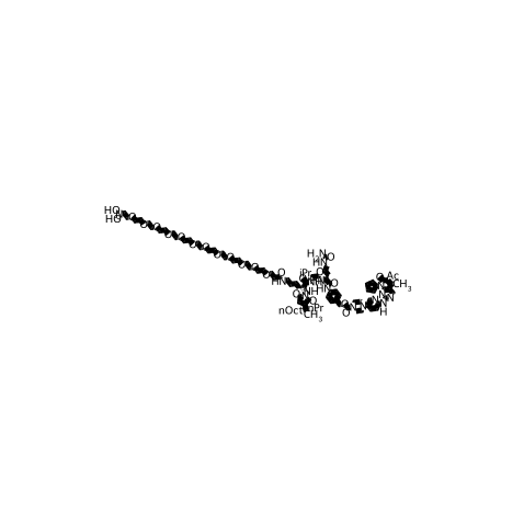 CCCCCCCCC(C)(CCC)C1CC(=O)N(N[C@@H](CCCCNC(=O)CCOCCOCCOCCOCCOCCOCCOCCOCCOCCOCCOCCOCCN(O)O)C(=O)N[C@H](C(=O)N[C@@H](CCCNC(N)=O)C(=O)Nc2ccc(COC(=O)N3CCN(c4ccc(Nc5ncc6c(C)c(C(C)=O)c(=O)n(C7CCCC7)c6n5)nc4)CC3)cc2)C(C)C)C1=O